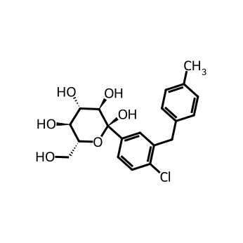 Cc1ccc(Cc2cc([C@]3(O)O[C@H](CO)[C@@H](O)[C@H](O)[C@H]3O)ccc2Cl)cc1